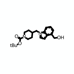 CC(C)(C)OC(=O)N1CCC(Cn2ccc3c(CO)cccc32)CC1